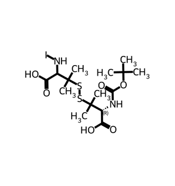 CC(C)(C)OC(=O)N[C@H](C(=O)O)C(C)(C)SSC(C)(C)C(NI)C(=O)O